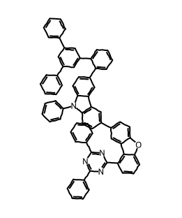 c1ccc(-c2cc(-c3ccccc3)cc(-c3ccccc3-c3ccc4c(c3)c3cc(-c5ccc6oc7cccc(-c8nc(-c9ccccc9)nc(-c9ccccc9)n8)c7c6c5)ccc3n4-c3ccccc3)c2)cc1